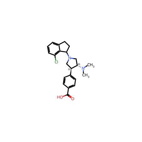 CN(C)[C@H]1CN(C2CCc3cccc(Cl)c32)C[C@@H]1c1ccc(C(=O)O)cc1